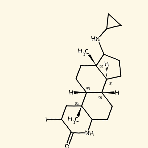 C[C@]12CC(I)C(=O)NC1CC[C@@H]1[C@H]2CC[C@]2(C)C(NC3CC3)CC[C@@H]12